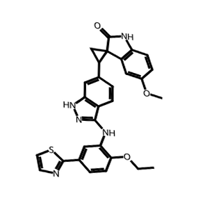 CCOc1ccc(-c2nccs2)cc1Nc1n[nH]c2cc(C3CC34C(=O)Nc3ccc(OC)cc34)ccc12